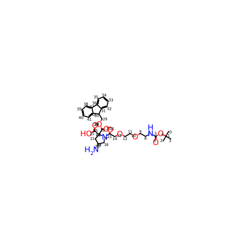 CC(C)(C)OC(=O)NCCOCCOCC(=O)N1C[C@@H](N)C[C@]1(C(=O)O)C(=O)OCC1c2ccccc2-c2ccccc21